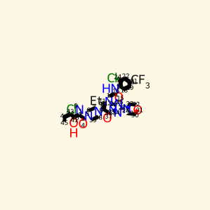 C=N/C(C(=O)N1CCN(c2c(CC)n(CC(=O)Nc3ccc(C(F)(F)F)cc3Cl)c3nc(N4CCOCC4)nn3c2=O)CC1)=C(O)\C(Cl)=C/C